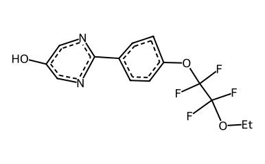 CCOC(F)(F)C(F)(F)Oc1ccc(-c2ncc(O)cn2)cc1